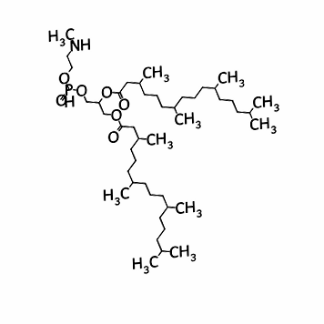 CNCCO[PH](=O)OCC(COC(=O)CC(C)CCCC(C)CCCC(C)CCCC(C)C)OC(=O)CC(C)CCCC(C)CCCC(C)CCCC(C)C